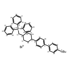 CCCCc1ccc(-c2ccc(C3CCC(C[P+](c4ccccc4)(c4ccccc4)c4ccccc4)CC3)cc2)cc1.[Br-]